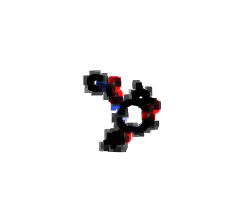 Cc1cc(C)c2c(c1)CC(=NOCC(=O)N1CCCCC1)/C=C/CC(O[Si](C)(C)C(C)(C)C)/C=C/C[C@@H](C)OC2=O